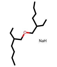 CCCCC(CC)COCC(CC)CCCC.[NaH]